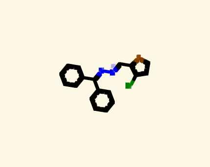 Brc1ccsc1/C=N/N=C(c1ccccc1)c1ccccc1